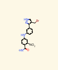 [NH]C(=O)c1ccc(Nc2cccc(-c3n[nH]cc3CBr)c2)cc1[N+](=O)[O-]